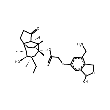 CC[C@]1(C)C[C@@H](OC(=O)COc2cc(CN)c3c(c2)B(O)OC3)[C@]2(C)[C@H](C)CC[C@]3(CCC(=O)[C@H]32)[C@@H](C)[C@@H]1O